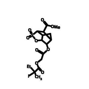 CCC(C)(I)C(=O)OCC(=O)OC1C2CC3C1OS(=O)(=O)C3C2C(=O)OC